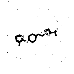 CC(=O)c1ccn(CCC2CCC(Oc3ncccc3C)CC2)n1